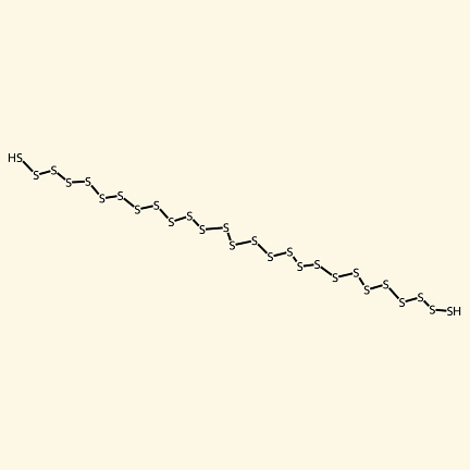 SSSSSSSSSSSSSSSSSSSSSSSSSSS